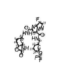 O=C(NCc1ccc2oc(=O)[nH]c2c1)c1cc(C(=O)NCc2cccc(OC(F)F)c2)n2ncc(F)c2n1